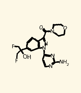 Nc1nccc(-n2nc(C(=O)N3CCOCC3)c3ccc(C(O)(CF)CF)cc32)n1